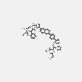 CCCN(C(=O)C(NC(=O)OC)c1ccccc1)[C@@H](C)c1ncc(-c2ccc3cc(-c4ccc(-c5cnc([C@@H]6CCCN6C(=O)[C@@H](NC(=O)OC)C(C)C)[nH]5)cc4)ccc3c2)[nH]1